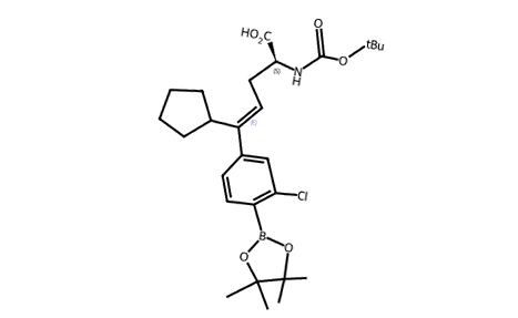 CC(C)(C)OC(=O)N[C@@H](C/C=C(/c1ccc(B2OC(C)(C)C(C)(C)O2)c(Cl)c1)C1CCCC1)C(=O)O